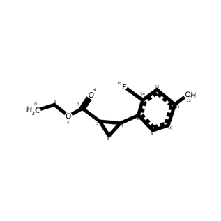 CCOC(=O)C1CC1c1ccc(O)cc1F